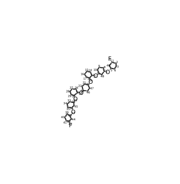 Fc1cccc(Oc2cccc(Oc3ccccc3Oc3ccc(Oc4ccccc4Oc4cccc(Oc5cccc(F)c5)c4)cc3)c2)c1